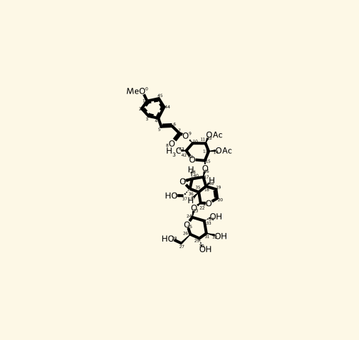 COc1ccc(/C=C/C(=O)O[C@@H]2[C@@H](OC(C)=O)[C@@H](OC(C)=O)[C@H](O[C@H]3[C@@H]4C=CO[C@@H](O[C@@H]5O[C@H](CO)[C@@H](O)[C@H](O)[C@H]5O)[C@@H]4[C@@]4(CO)O[C@@H]34)O[C@H]2C)cc1